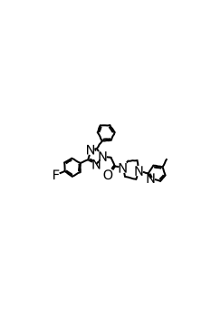 Cc1ccnc(N2CCN(C(=O)Cn3nc(-c4ccc(F)cc4)nc3-c3ccccc3)CC2)c1